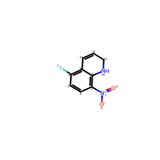 O=[N+]([O-])c1ccc(F)c2c1NCC=C2